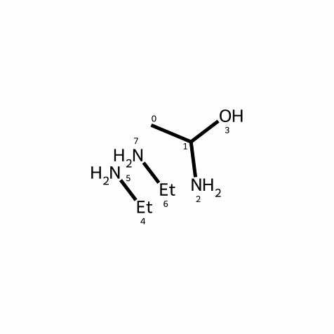 CC(N)O.CCN.CCN